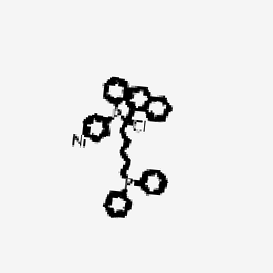 ClC(CCCCCP(c1ccccc1)c1ccccc1)(c1cccc2ccccc12)P(c1ccccc1)c1ccccc1.[Ni]